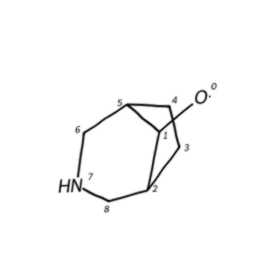 [O]C1C2CCC1CNC2